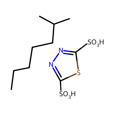 CCCCCC(C)C.O=S(=O)(O)c1nnc(S(=O)(=O)O)s1